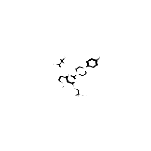 CC(C)[C@@H](N)CNc1nc(N2CCN(c3ccc(Cl)cc3)CC2)nc2c1[S+]([O-])CC2.O=C(O)C(F)(F)F